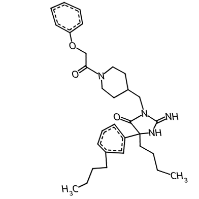 CCCCc1cccc(C2(CCCC)NC(=N)N(CC3CCN(C(=O)COc4ccccc4)CC3)C2=O)c1